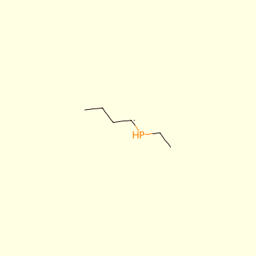 CCC[CH]PCC